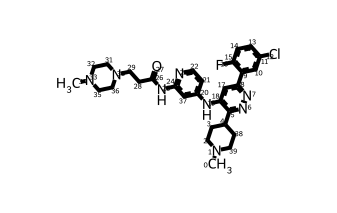 CN1CCC(c2nnc(-c3cc(Cl)ccc3F)cc2Nc2ccnc(NC(=O)CCN3CCN(C)CC3)c2)CC1